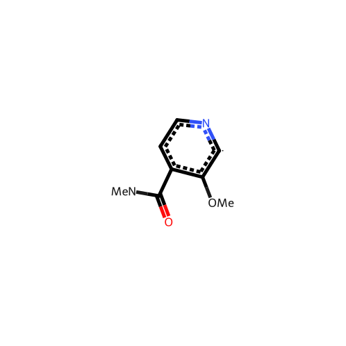 CNC(=O)c1ccn[c]c1OC